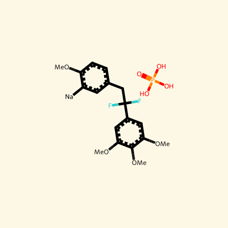 COc1ccc(CC(F)(F)c2cc(OC)c(OC)c(OC)c2)c[c]1[Na].O=P(O)(O)O